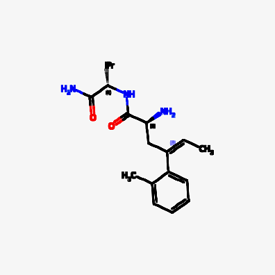 C/C=C(/C[C@H](N)C(=O)N[C@H](C(N)=O)C(C)C)c1ccccc1C